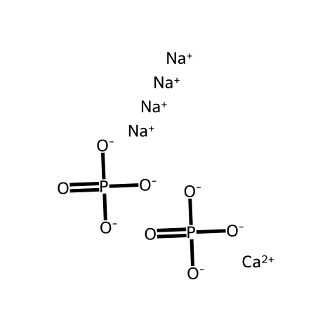 O=P([O-])([O-])[O-].O=P([O-])([O-])[O-].[Ca+2].[Na+].[Na+].[Na+].[Na+]